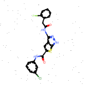 O=C(Cc1ccccc1F)Nc1n[nH]c2sc(C(=O)Nc3cccc(Cl)c3)cc12